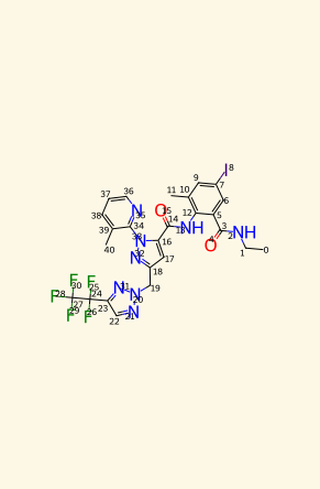 CCNC(=O)c1cc(I)cc(C)c1NC(=O)c1cc(Cn2ncc(C(F)(F)C(F)(F)F)n2)nn1-c1ncccc1C